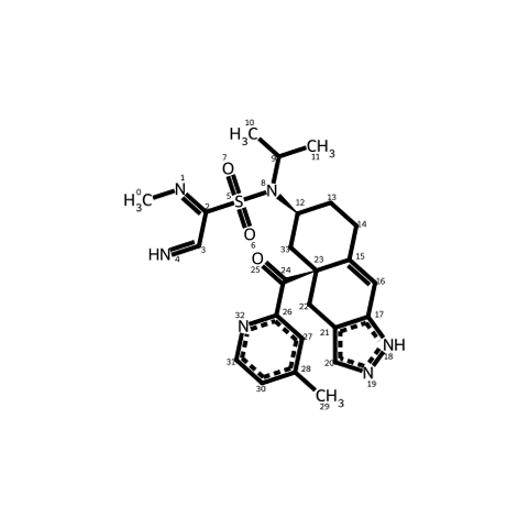 C/N=C(\C=N)S(=O)(=O)N(C(C)C)[C@H]1CCC2=Cc3[nH]ncc3C[C@]2(C(=O)c2cc(C)ccn2)C1